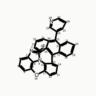 CCc1nc2cccc3c2n1-c1c(cccc1-c1c2ccccc2c(-c2cccnc2)c2ccccc12)O3